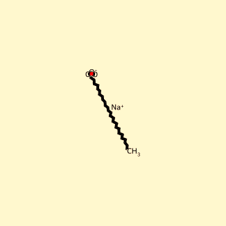 CCCCCCCCCCCCCCCCCCCCCCCCCCCCS(=O)(=O)[O-].[Na+]